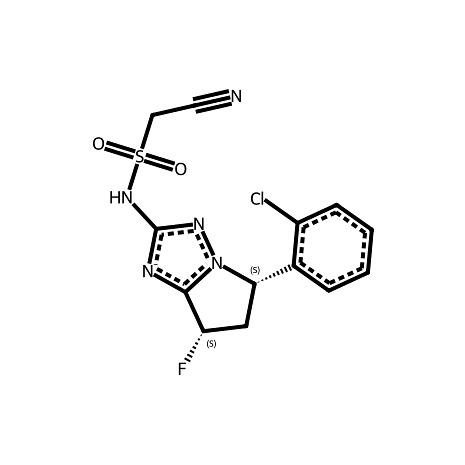 N#CCS(=O)(=O)Nc1nc2n(n1)[C@H](c1ccccc1Cl)C[C@@H]2F